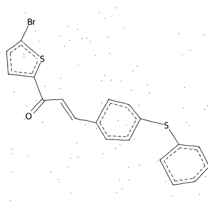 O=C(/C=C/c1ccc(Sc2ccccc2)cc1)c1ccc(Br)s1